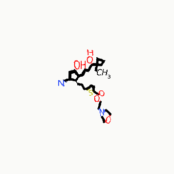 CCC1(C(O)C/C=C/C2[C@@H](CCCc3ccc(C(=O)OCCN4CCOCC4)s3)C(C#N)C[C@H]2O)CCC1